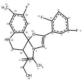 CC(=O)N1N=C(c2cc(F)ccc2F)OC12c1cc(F)c(C)cc1NCC2CCO